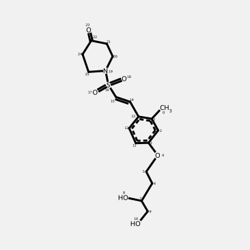 Cc1cc(OCCC(O)CO)ccc1/C=C/S(=O)(=O)N1CCC(=O)CC1